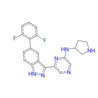 Fc1cccc(F)c1-c1ccc2[nH]nc(-c3cncc(NC4CCNC4)n3)c2c1